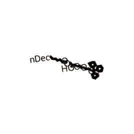 CCCCCCCCCCCCCCCCOOCC(O)COCCOCCOC(c1ccccc1)(c1ccccc1)c1ccccc1